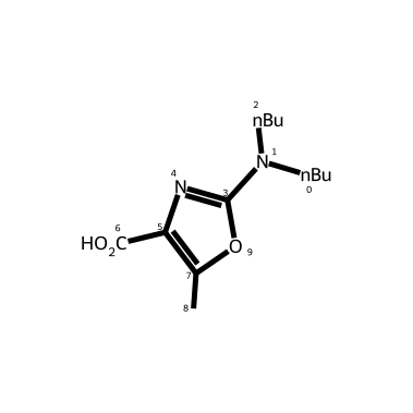 CCCCN(CCCC)c1nc(C(=O)O)c(C)o1